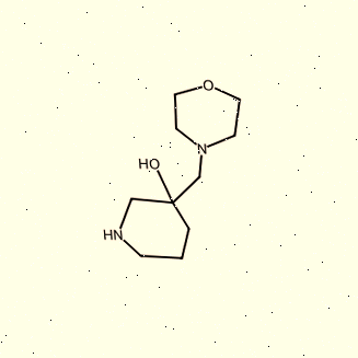 OC1(CN2CCOCC2)CCCNC1